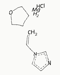 C1CCOC1.C=Cn1ccnc1.Cl.[MgH2]